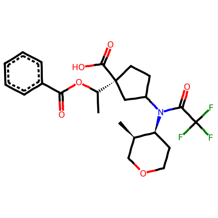 CC(OC(=O)c1ccccc1)[C@]1(C(=O)O)CCC(N(C(=O)C(F)(F)F)[C@H]2CCOC[C@H]2C)C1